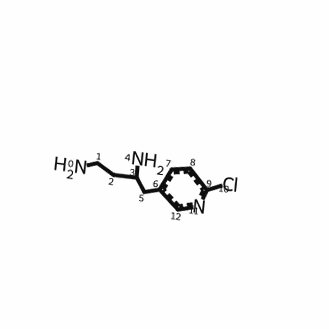 NCCC(N)Cc1ccc(Cl)nc1